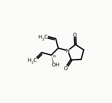 C=CC([C@H](O)C=C)N1C(=O)CCC1=O